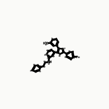 Cc1cccc(-c2nc(-c3ccc(F)cc3)sc2-c2ccnc(NCCc3ccccc3)c2)c1